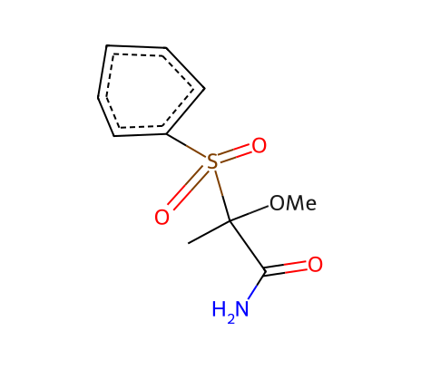 COC(C)(C(N)=O)S(=O)(=O)c1ccccc1